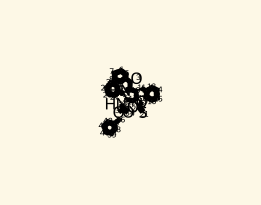 N=C(C(=O)c1ccccc1)[C@@H](Cc1ccccc1)[C@H]1OC(=S)O[C@@H]1[C@H](Cc1ccccc1)NC(=O)OCc1ccccc1